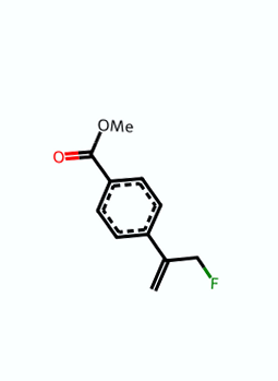 C=C(CF)c1ccc(C(=O)OC)cc1